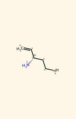 C=C[C@@H](N)CCCCC